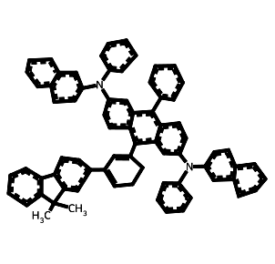 CC1(C)c2ccccc2-c2ccc(C3=CCCC(c4c5cc(N(c6ccccc6)c6ccc7ccccc7c6)ccc5c(-c5ccccc5)c5cc(N(c6ccccc6)c6ccc7ccccc7c6)ccc45)=C3)cc21